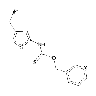 CC(C)Cc1csc(NC(=S)OCc2cccnc2)c1